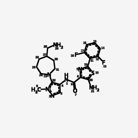 Cn1ncc(NC(=O)c2nc(-c3c(F)cccc3F)sc2N)c1N1CCCC(CN)CC1